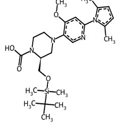 COc1cc(-n2c(C)ccc2C)ncc1N1CCN(C(=O)O)[C@H](CO[Si](C)(C)C(C)(C)C)C1